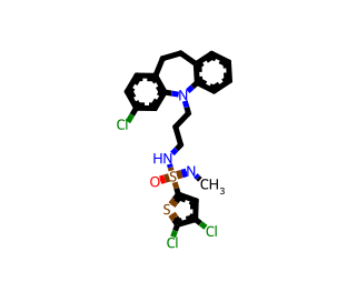 CN=S(=O)(NCCCN1c2ccccc2CCc2ccc(Cl)cc21)c1cc(Cl)c(Cl)s1